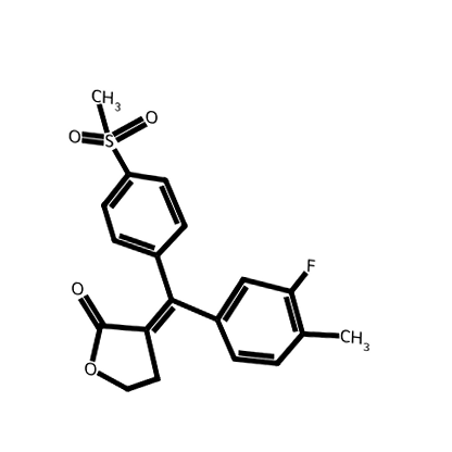 Cc1ccc(C(=C2CCOC2=O)c2ccc(S(C)(=O)=O)cc2)cc1F